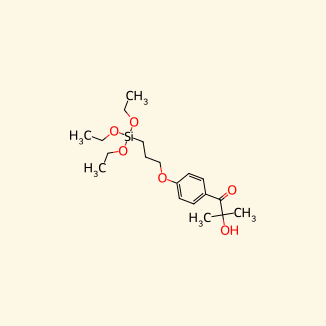 CCO[Si](CCCOc1ccc(C(=O)C(C)(C)O)cc1)(OCC)OCC